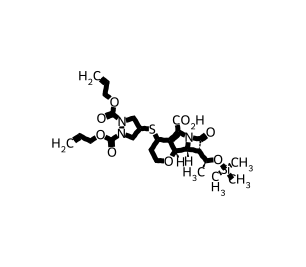 C=CCOC(=O)N1CC(SC2CCO[C@H]3C2=C(C(=O)O)N2C(=O)[C@H]([C@@H](C)O[Si](C)(C)C)[C@@H]32)CN1C(=O)OCC=C